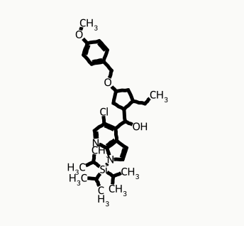 CCC1CC(OCc2ccc(OC)cc2)CC1C(O)c1c(Cl)cnc2c1ccn2[Si](C(C)C)(C(C)C)C(C)C